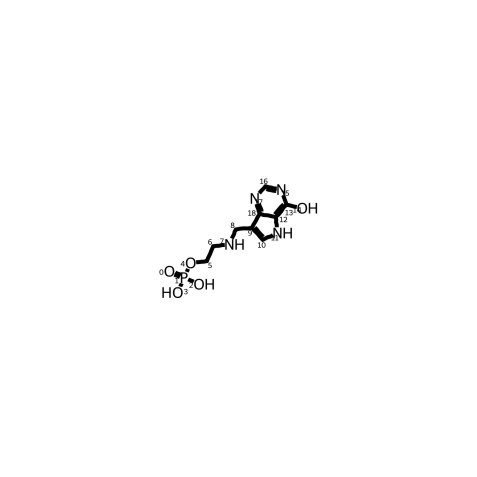 O=P(O)(O)OCCNCc1c[nH]c2c(O)ncnc12